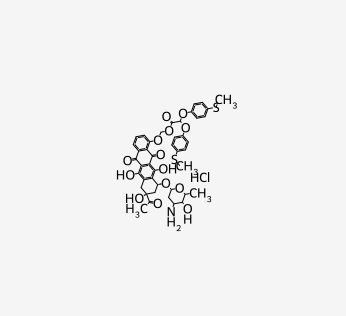 CSc1ccc(OC(Oc2ccc(SC)cc2)C(=O)OCOc2cccc3c2C(=O)c2c(O)c4c(c(O)c2C3=O)C[C@@](O)(C(C)=O)C[C@@H]4OC2CC(N)C(O)C(C)O2)cc1.Cl